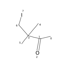 CC(=O)C(C)(C)CI